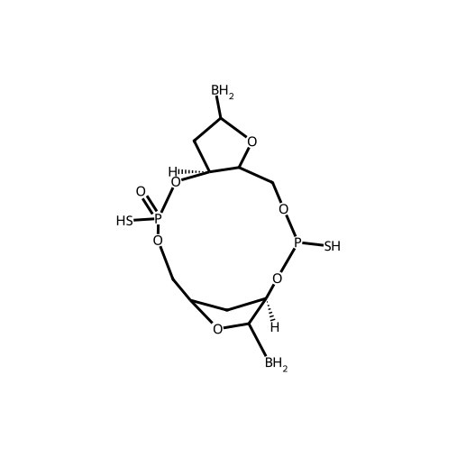 BC1C[C@@H]2OP(=O)(S)OCC3C[C@@H](OP(S)OCC2O1)C(B)O3